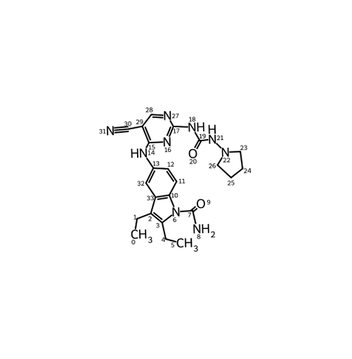 CCc1c(CC)n(C(N)=O)c2ccc(Nc3nc(NC(=O)NN4CCCC4)ncc3C#N)cc12